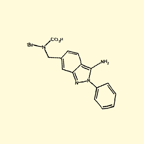 CC(C)(C)N(Cc1ccc2c(N)n(-c3ccccc3)nc2c1)C(=O)O